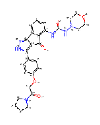 O=C(Nc1cccc2c1C(=O)c1c-2n[nH]c1-c1ccc(OCC(=O)N2CCCC2)cc1)NN1CCOCC1